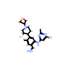 Cc1nc(Cl)cc(Nc2cc(C3CCN(C4COC4)CC3F)c(C)cc2C=N)n1